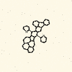 c1ccc(-c2c3cc4c5ccccc5c5cccc(c3c(-c3ccccn3)c3c6ccc7ccc8cccc9cc(c23)c6c7c89)c54)nc1